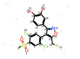 CS(=O)(=O)c1cc(F)c(-c2c(-c3ccc(Br)c(Br)c3)noc2CF)cc1F